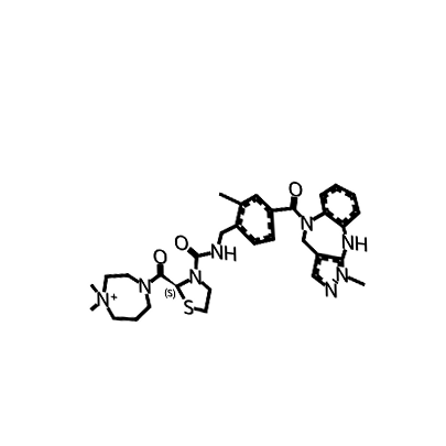 Cc1cc(C(=O)N2Cc3cnn(C)c3Nc3ccccc32)ccc1CNC(=O)N1CCS[C@H]1C(=O)N1CCC[N+](C)(C)CC1